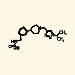 CC(C)n1cc(CN2CCC(c3cccc(CN[SH](=O)=O)c3)CC2)nn1